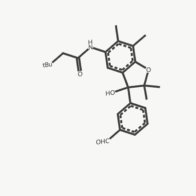 Cc1c(NC(=O)CC(C)(C)C)cc2c(c1C)OC(C)(C)C2(O)c1cccc(C=O)c1